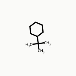 [CH2]C(C)(C)C1CCCCC1